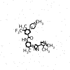 Cc1ccc(NC(=O)c2cc(N3CCN(C)CC3)c(C)c(C(F)(F)F)c2)cc1-n1cc(C2C=NN(C)C2C)nn1